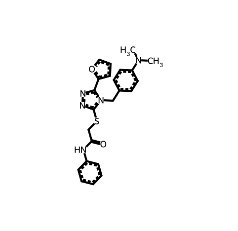 CN(C)c1ccc(Cn2c(SCC(=O)Nc3ccccc3)nnc2-c2ccco2)cc1